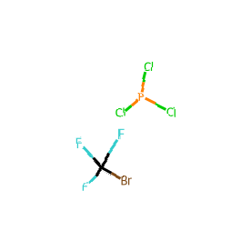 ClP(Cl)Cl.FC(F)(F)Br